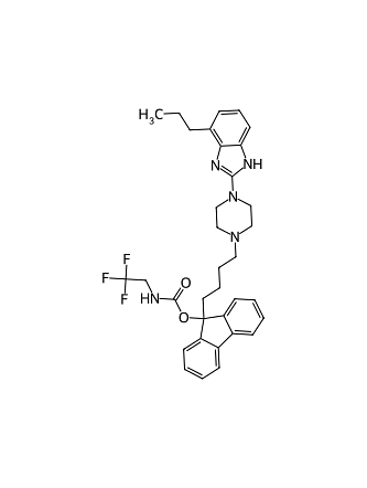 CCCc1cccc2[nH]c(N3CCN(CCCCC4(OC(=O)NCC(F)(F)F)c5ccccc5-c5ccccc54)CC3)nc12